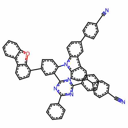 N#Cc1ccc(-c2ccc3c(c2)c2cc(-c4ccc(C#N)cc4)ccc2n3-c2ccc(-c3cccc4c3oc3ccccc34)cc2-c2nc(-c3ccccc3)nc(-c3ccccc3)n2)cc1